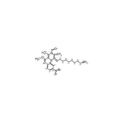 COC(=O)C1=C(C)N(C=O)C(C)=C(OCCCCCCCCN)C1c1cccc([N+](=O)[O-])c1